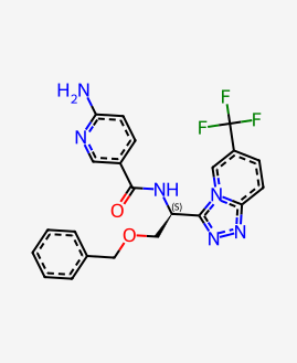 Nc1ccc(C(=O)N[C@H](COCc2ccccc2)c2nnc3ccc(C(F)(F)F)cn23)cn1